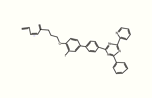 C=C/C=C\C(=C)CCCOc1ccc(-c2ccc(-c3nc(-c4ccccc4)nc(-c4ccccn4)n3)cc2)cc1I